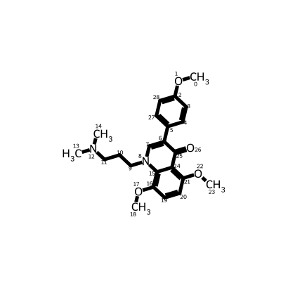 COc1ccc(-c2cn(CCCN(C)C)c3c(OC)ccc(OC)c3c2=O)cc1